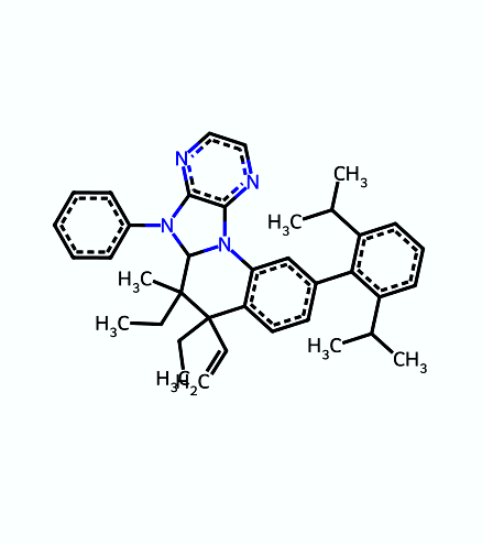 C=CC1(CC)c2ccc(-c3c(C(C)C)cccc3C(C)C)cc2N2c3nccnc3N(c3ccccc3)C2C1(C)CC